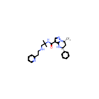 CC(C)(CNCCc1ccccn1)NC(=O)c1cnn2c1N[C@@H](c1ccccc1)C[C@H]2C(F)(F)F